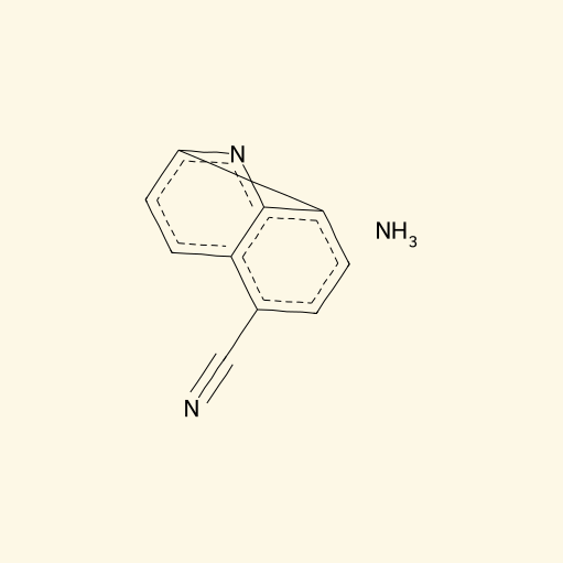 N.N#Cc1ccc2c3nc-2ccc13